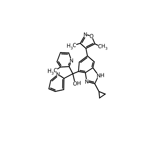 Cc1cccnc1C(O)(c1ccccn1)c1cc(-c2c(C)noc2C)cc2[nH]c(C3CC3)nc12